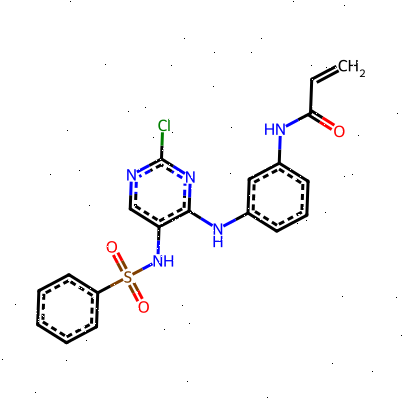 C=CC(=O)Nc1cccc(Nc2nc(Cl)ncc2NS(=O)(=O)c2ccccc2)c1